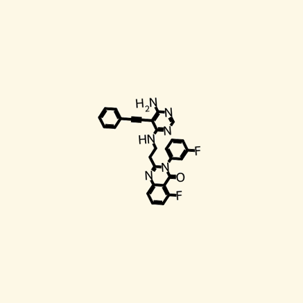 Nc1ncnc(NCCc2nc3cccc(F)c3c(=O)n2-c2cccc(F)c2)c1C#Cc1ccccc1